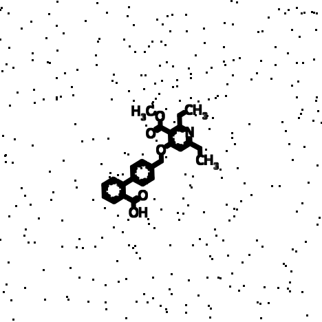 CCc1cc(OCc2ccc(-c3ccccc3C(=O)O)cc2)c(C(=O)OC)c(CC)n1